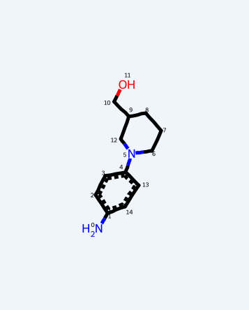 Nc1ccc(N2CCCC(CO)C2)cc1